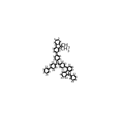 CC1(C)c2ccccc2-c2ccc(-c3ccc(N(c4ccc(-c5ccccc5)cc4)c4ccc(-c5cccc6c5c5ccccc5n6-c5ccccc5)cc4)cc3)cc21